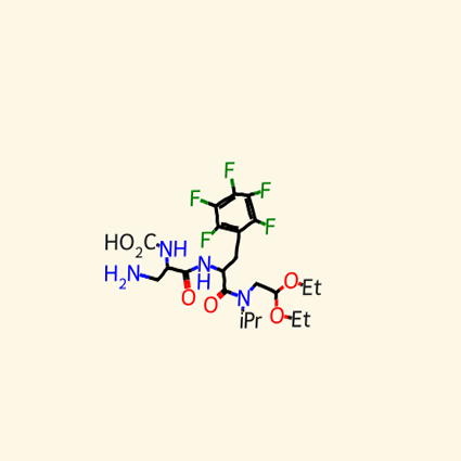 CCOC(CN(C(=O)C(Cc1c(F)c(F)c(F)c(F)c1F)NC(=O)C(CN)NC(=O)O)C(C)C)OCC